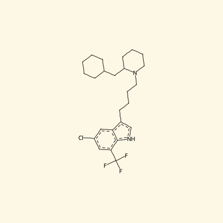 FC(F)(F)c1cc(Cl)cc2c(CCCCN3CCCCC3CC3CCCCC3)c[nH]c12